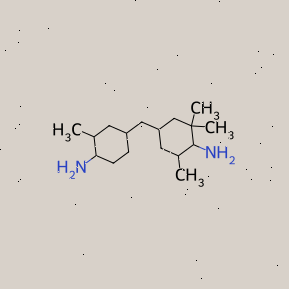 CC1CC(CC2CC(C)C(N)C(C)(C)C2)CCC1N